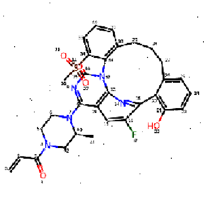 C=CC(=O)N1CCN(c2nc(=O)n3c4nc(c(F)cc24)-c2c(O)cccc2CCCc2cccc(S(C)(=O)=O)c2-3)[C@@H](C)C1